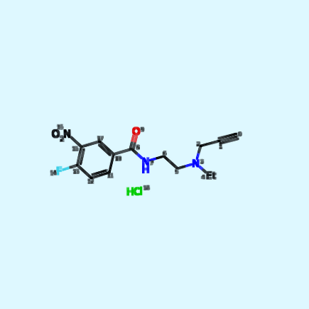 C#CCN(CC)CCNC(=O)c1ccc(F)c([N+](=O)[O-])c1.Cl